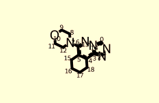 c1nnc2c3c(c(N4CCOCC4)nn12)CCCC3